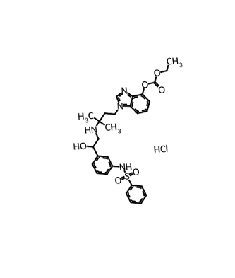 CCOC(=O)Oc1cccc2c1ncn2CCC(C)(C)NCC(O)c1cccc(NS(=O)(=O)c2ccccc2)c1.Cl